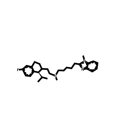 CC(C)[C@@H]1[C](CCN(C)CCCCCc2nc3ccccc3n2C)CCc2cc(F)ccc21